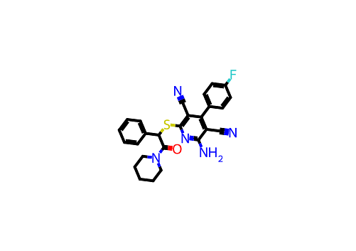 N#Cc1c(N)nc(SC(C(=O)N2CCCCC2)c2ccccc2)c(C#N)c1-c1ccc(F)cc1